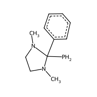 CN1CCN(C)C1(P)c1ccccc1